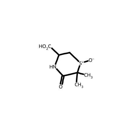 CC1(C)C(=O)NC(C(=O)O)C[S+]1[O-]